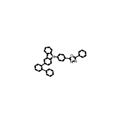 c1ccc(-c2nnc(-c3ccc(-n4c5ccccc5c5cc(-c6ccccc6-c6ccccc6)ccc54)cc3)o2)cc1